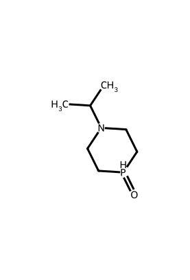 CC(C)N1CC[PH](=O)CC1